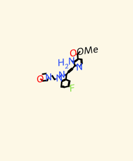 COC(=O)c1ccnc(C#Cc2nn(CCN3CCOCC3)c3ccc(F)cc23)c1N